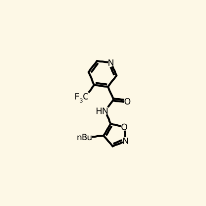 CCCCc1cnoc1NC(=O)c1cnccc1C(F)(F)F